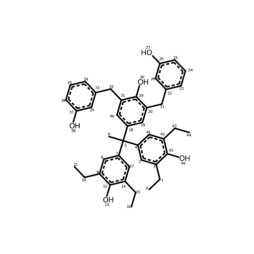 CCc1cc(C(C)(c2cc(CC)c(O)c(CC)c2)c2cc(Cc3cccc(O)c3)c(O)c(Cc3cccc(O)c3)c2)cc(CC)c1O